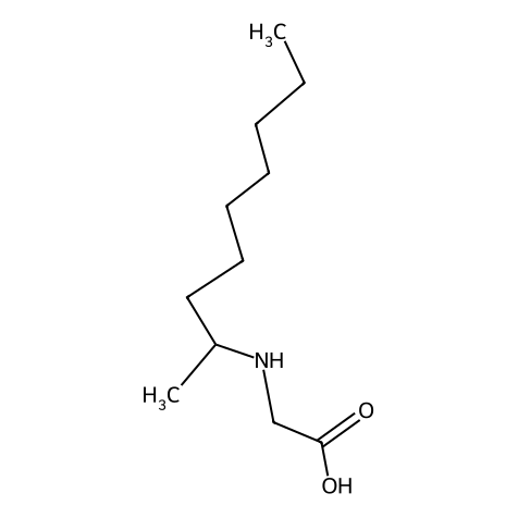 CCCCCCCC(C)NCC(=O)O